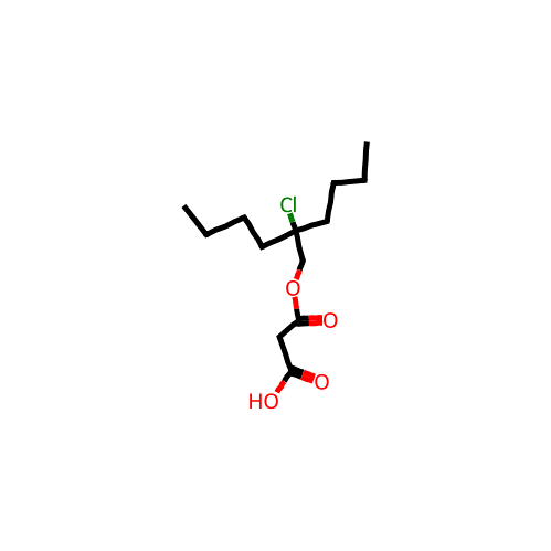 CCCCC(Cl)(CCCC)COC(=O)CC(=O)O